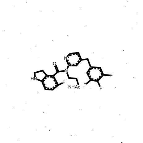 CC(=O)NCCN(C(=O)c1c(F)ccc2c1CCN2)c1cc(Cc2cc(F)c(F)c(F)c2)ccn1